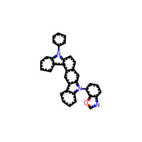 c1ccc(-n2c3ccccc3c3c4cc5c6ccccc6n(-c6cccc7ncoc67)c5cc4ccc32)cc1